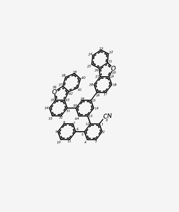 N#Cc1cccc(-c2ccccc2)c1-c1cc(-c2ccc3oc4ccccc4c3c2)cc(-c2cccc3oc4ccccc4c23)c1